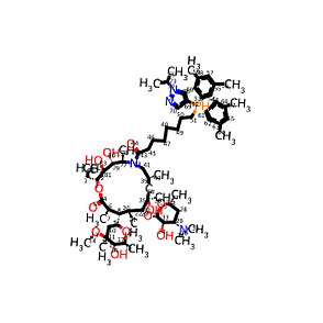 CC[C@H]1OC(=O)[C@H](C)[C@@H](C2C[C@@](C)(OC)[C@@H](O)[C@H](C)O2)[C@H](C)[C@@H](O[C@@H]2O[C@H](C)C[C@H](N(C)C)[C@H]2O)[C@](C)(O)C[C@@H](C)CN(C(=O)CCCCCCC[PH](c2cc(C)cc(C)c2)(c2cc(C)cc(C)c2)c2cnn(C(C)C)c2)[C@H](C)[C@@H](O)[C@]1(C)O